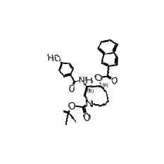 CC(C)(C)OC(=O)N1CCC[C@@H](OC(=O)c2ccc3ccccc3c2)[C@H](NC(=O)c2ccc(O)cc2)C1